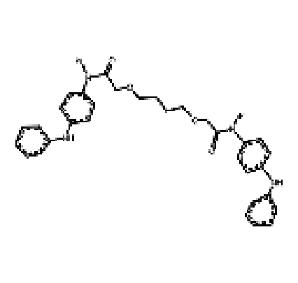 CC(C)N(C(=O)COCCCCOCC(=O)N(c1ccc(Nc2ccccc2)cc1)C(C)C)c1ccc(Nc2ccccc2)cc1